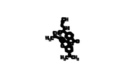 C#CCNC(=O)c1ccc2c(c1)C1(OC2=O)c2ccc(N(C)C)cc2Oc2cc(N(C)C)ccc21